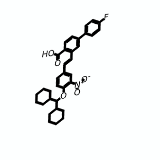 O=C(O)c1ccc(-c2ccc(F)cc2)cc1C=Cc1ccc(OC(C2CCCCC2)C2CCCCC2)c([N+](=O)[O-])c1